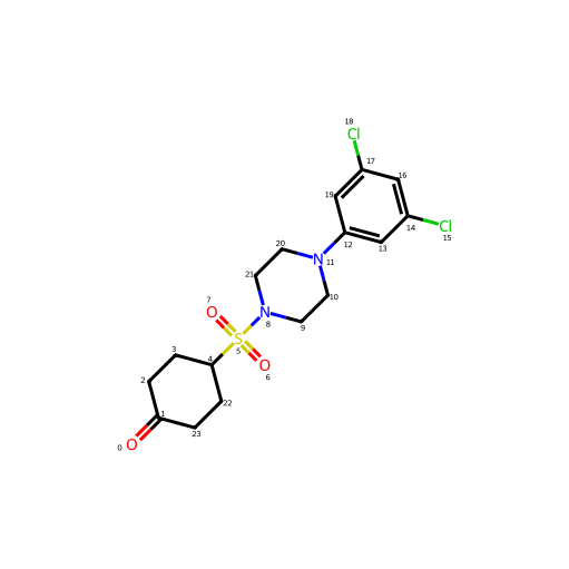 O=C1CCC(S(=O)(=O)N2CCN(c3cc(Cl)cc(Cl)c3)CC2)CC1